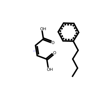 CCCCc1ccccc1.O=C(O)/C=C\C(=O)O